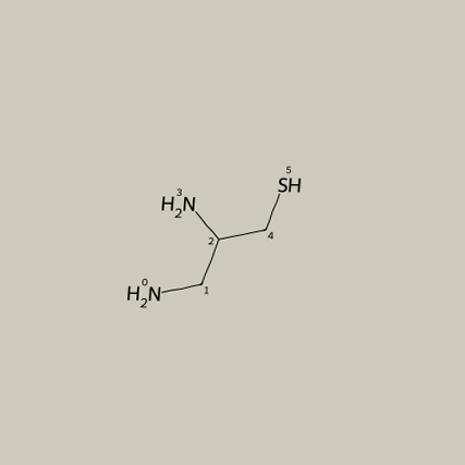 NCC(N)CS